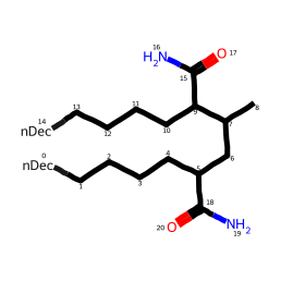 CCCCCCCCCCCCCCC(CC(C)C(CCCCCCCCCCCCCC)C(N)=O)C(N)=O